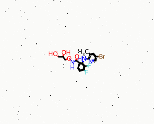 Cc1cc(Br)cnc1Nc1c(C(=O)NOCC(O)CO)ccc(F)c1F